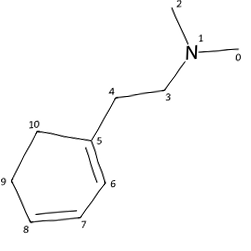 CN(C)CCC1=CC=CCC1